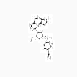 CC[C@@H]1C[C@H](Nc2ccc(C#N)cn2)C[C@H]1c1nnc2cnc3[nH]ccc3n12